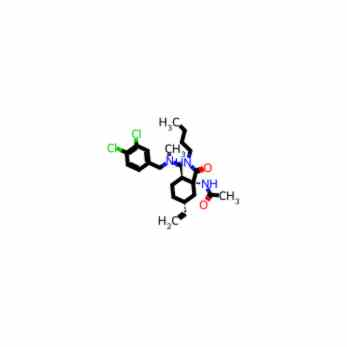 C=C[C@@H]1CC[C@@H](CN(C)Cc2ccc(Cl)c(Cl)c2)[C@@](NC(C)=O)(C(=O)NCCCC)C1